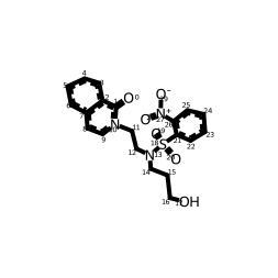 O=c1c2ccccc2ccn1CCN(CCCO)S(=O)(=O)c1ccccc1[N+](=O)[O-]